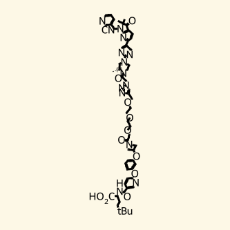 C[C@@H]1CN(c2ncc(-c3ccc4c(n3)N(Cc3cccnc3C#N)C(C)(C)C4=O)cn2)CCN1C(=O)Cn1cc(COCCOCCOCC(=O)N2CC(Oc3cccc(Oc4ccc(C(=O)NC(CCC(C)(C)C)C(=O)O)cn4)c3)C2)nn1